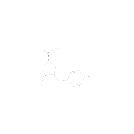 CC(C)(C)C(=O)C1CC(=O)N(Cc2ccc(Cl)cc2)C1